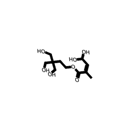 CC(=CC(O)O)C(=O)OCCC(CO)(CO)CO